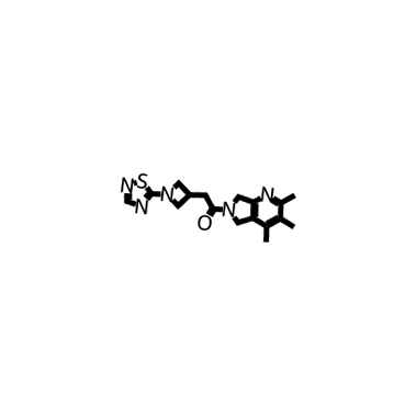 Cc1nc2c(c(C)c1C)CN(C(=O)CC1CN(c3ncns3)C1)C2